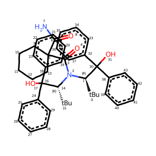 CC(C)(C)[C@@H](N(C(=O)C1(C(N)=O)CCCCC1)[C@H](C(C)(C)C)C(O)(c1ccccc1)c1ccccc1)C(O)(c1ccccc1)c1ccccc1